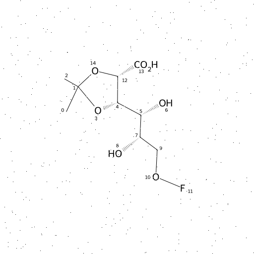 CC1(C)O[C@@H]([C@H](O)[C@@H](O)COF)[C@@H](C(=O)O)O1